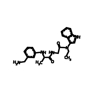 CCN(C(=O)CNC(=O)C(C)Nc1cccc(CN)c1)c1c[nH]c2ccccc12